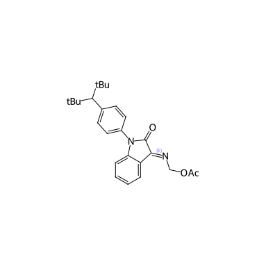 CC(=O)OC/N=C1/C(=O)N(c2ccc(C(C(C)(C)C)C(C)(C)C)cc2)c2ccccc21